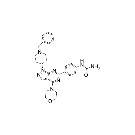 NC(=O)Nc1ccc(-c2nc(N3CCOCC3)c3cnn(C4CCN(Cc5ccccc5)CC4)c3n2)cc1